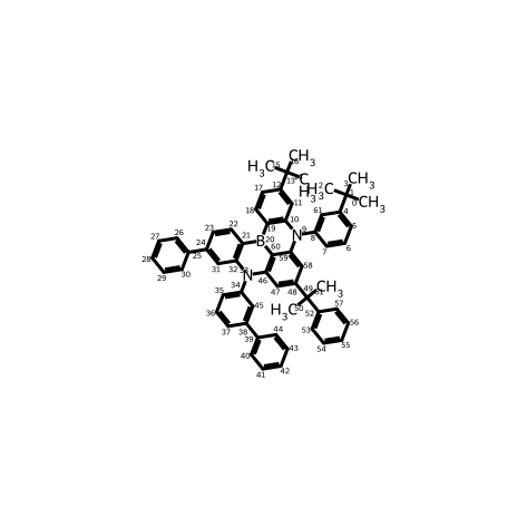 CC(C)(C)c1cccc(N2c3cc(C(C)(C)C)ccc3B3c4ccc(-c5ccccc5)cc4N(c4cccc(-c5ccccc5)c4)c4cc(C(C)(C)c5ccccc5)cc2c43)c1